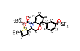 CCc1ccc(C2COc3c(-c4cccc(OC(F)(F)F)c4)cccc3N2C(=O)OC(C)(C)C)s1